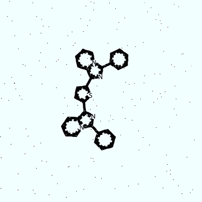 c1ccc(-c2nc(-c3ccc(-c4nc(-c5ccccc5)n5ccccc45)s3)c3ccccn23)cc1